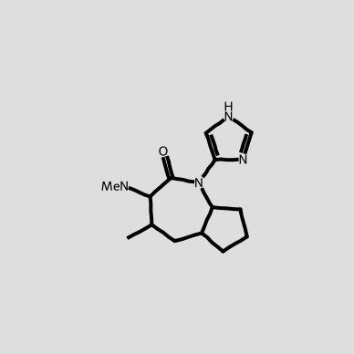 CNC1C(=O)N(c2c[nH]cn2)C2CCCC2CC1C